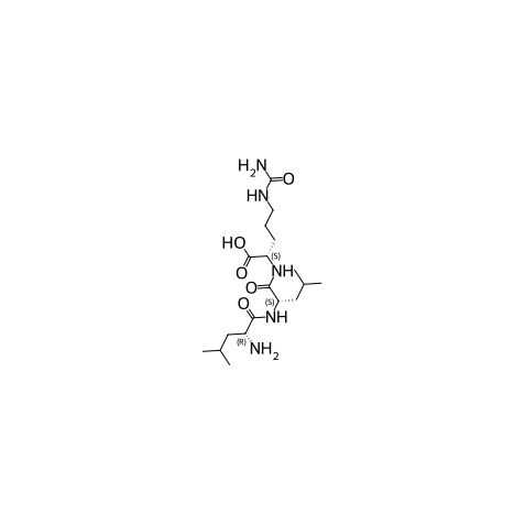 CC(C)C[C@@H](N)C(=O)N[C@@H](CC(C)C)C(=O)N[C@@H](CCCNC(N)=O)C(=O)O